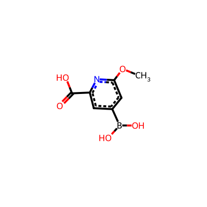 COc1cc(B(O)O)cc(C(=O)O)n1